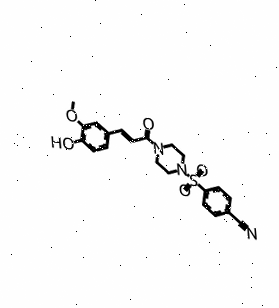 COc1cc(/C=C/C(=O)N2CCN(S(=O)(=O)c3ccc(C#N)cc3)CC2)ccc1O